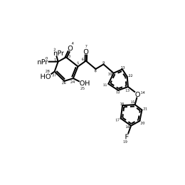 CCCC1(CCC)C(=O)C(C(=O)CCc2ccc(Oc3ccc(F)cc3)cc2)=C(O)C=C1O